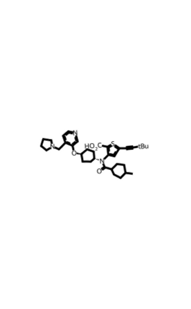 CC1CCC(C(=O)N(c2cc(C#CC(C)(C)C)sc2C(=O)O)[C@H]2CC[C@H](Oc3cnccc3CN3CCCC3)CC2)CC1